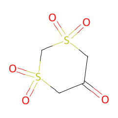 O=C1CS(=O)(=O)CS(=O)(=O)C1